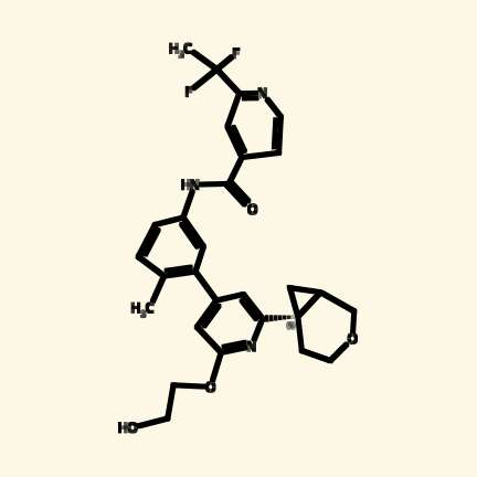 Cc1ccc(NC(=O)c2ccnc(C(C)(F)F)c2)cc1-c1cc(OCCO)nc([C@@]23CCOCC2C3)c1